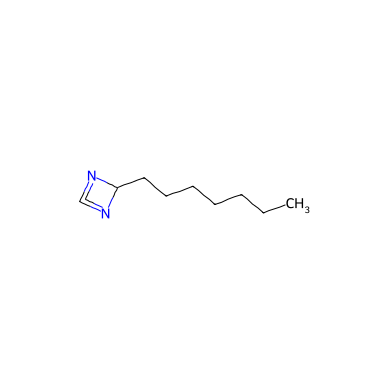 CCCCCCCC1N=C=N1